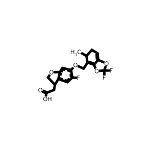 CC1CC=C2OC(F)(F)OC2=C1COc1cc2c(cc1F)C(CC(=O)O)CO2